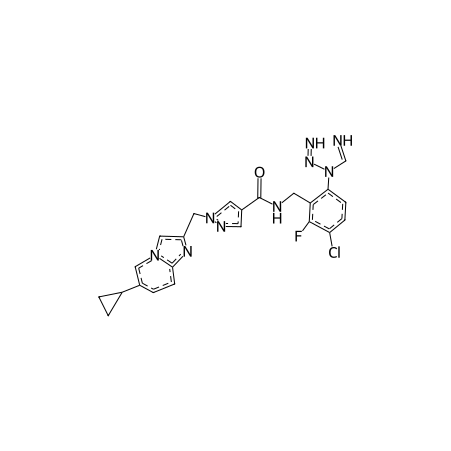 N=CN(N=N)c1ccc(Cl)c(F)c1CNC(=O)c1cnn(Cc2cn3cc(C4CC4)ccc3n2)c1